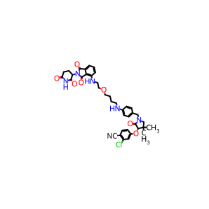 CC1(C)CN(Cc2ccc(NCCCCOCCNc3cccc4c3C(=O)N(C3CCC(=O)NC3=O)C4=O)cc2)C(=O)C1Oc1ccc(C#N)c(Cl)c1